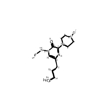 O=c1c(N2CC[S+]([O-])CC2)nc(CCCO)cn1SF